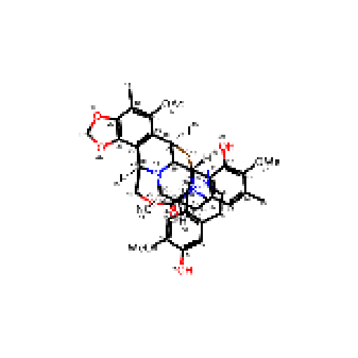 COc1cc2c(cc1O)CCN[C@]21CS[C@@H]2c3c(OC(C)=O)c(C)c4c(c3[C@H](COC1=O)N1C2[C@@H]2c3c(cc(C)c(OC)c3O)C[C@H]([C@@H]1C#N)N2C)OCO4